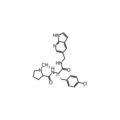 CN1CCCC1C(=O)N[C@@H](Cc1ccc(Cl)cc1)C(=O)NCc1cnc2[nH]ccc2c1